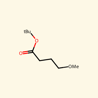 COCCCC(=O)OC(C)(C)C